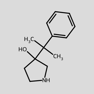 CC(C)(c1ccccc1)C1(O)CCNC1